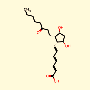 CCCCCC(=O)CC[C@H]1[C@@H](C=CC=CC=CC(=O)O)[C@H](O)C[C@@H]1O